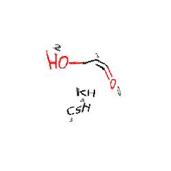 O=CO.[CsH].[KH]